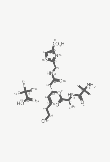 CC(C)[C@H](NC(=O)C(C)(C)N)C(=O)O[C@H](C=CCCCl)CC(=O)NCc1nc(C(=O)O)cs1.O=C(O)C(F)(F)F